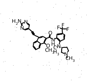 COc1c(C(=O)Nc2cc(C(F)(F)F)ccc2N(C)[C@@H]2CCN(C)C2)cc(C#Cc2cnc(N)nc2)c2ccccc12